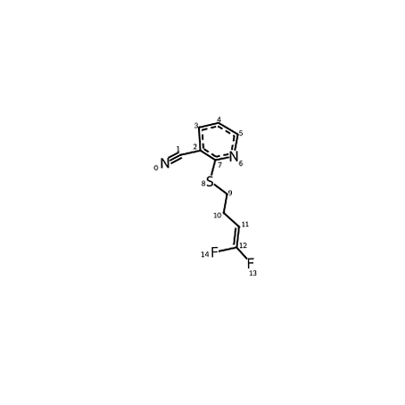 N#Cc1cccnc1SCCC=C(F)F